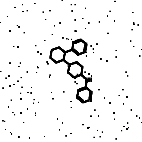 c1ccc(C2CCCCC2N2CCC(Nc3cccnc3)CC2)cc1